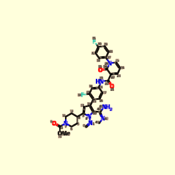 C=Nn1c(C2CCN(C(=O)OC)CC2)cc(-c2ccc(NC(=O)c3cccn(-c4ccc(F)cc4)c3=O)cc2F)c1/C(N)=N\C